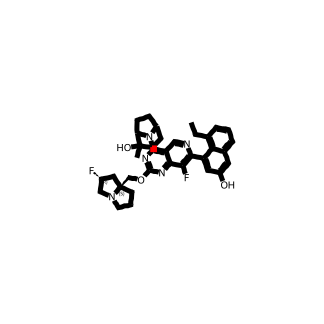 CCc1cccc2cc(O)cc(-c3ncc4c(N5C6CCC5C(C)(O)CC6)nc(OC[C@@]56CCCN5C[C@H](F)C6)nc4c3F)c12